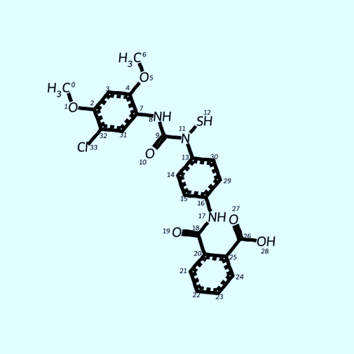 COc1cc(OC)c(NC(=O)N(S)c2ccc(NC(=O)c3ccccc3C(=O)O)cc2)cc1Cl